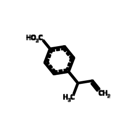 C=CC(C)c1ccc(C(=O)O)cc1